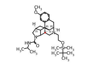 COc1ccc2c(c1)[C@]13CCN(CCO[Si](C)(C)C(C)(C)C)[C@H](C2)[C@]12CCC1C3[C@@H](CN1C(=O)NC(C)C)C2